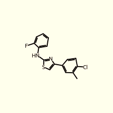 Cc1cc(-c2csc(Nc3ccccc3F)n2)ccc1Cl